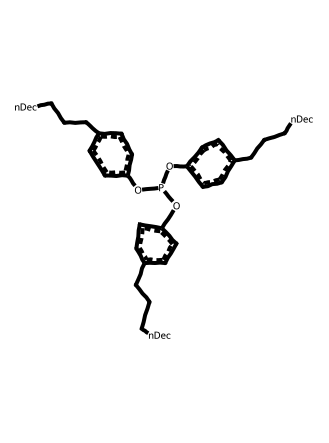 CCCCCCCCCCCCCc1ccc(OP(Oc2ccc(CCCCCCCCCCCCC)cc2)Oc2ccc(CCCCCCCCCCCCC)cc2)cc1